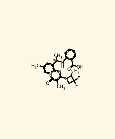 Cc1cc([C@@H](C)Nc2ccccc2C(=O)O)c2nc(N3CC(F)(F)[C@@H]3C)c(C)c(=O)n2c1